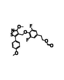 COc1ccc(-c2snc(OC)c2COc2c(F)cc(CCOC=O)cc2F)cc1